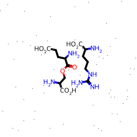 N=C(N)NCCCC(N)C(=O)O.NC(COC(=O)C(N)CCC(=O)O)C(=O)O